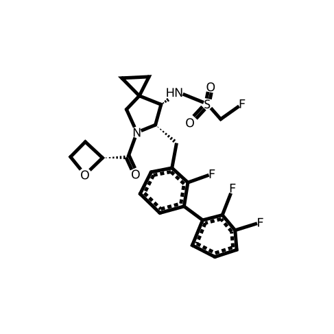 O=C([C@H]1CCO1)N1CC2(CC2)[C@H](NS(=O)(=O)CF)[C@@H]1Cc1cccc(-c2cccc(F)c2F)c1F